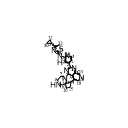 c1cc(-c2nc(N3CCNCC3)c3c(C4CCC4)cncc3n2)cc(Nc2nc(C3CC3)cs2)n1